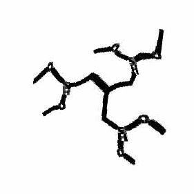 CO[SiH](CC(C[SiH](OC)OC)C[SiH](OC)OC)OC